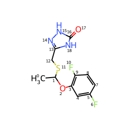 CC(Oc1cc(F)ccc1F)SCc1n[nH]c(=O)[nH]1